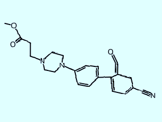 COC(=O)CCN1CCN(c2ccc(C3=CC=C(C#N)CC3=C=O)cc2)CC1